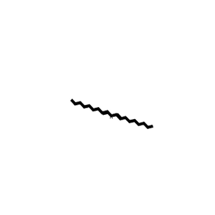 CCCCCCCC=C[C]C=CCCCCCCC